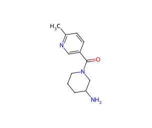 Cc1ccc(C(=O)N2CCCC(N)C2)cn1